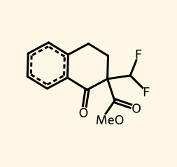 COC(=O)C1(C(F)F)CCc2ccccc2C1=O